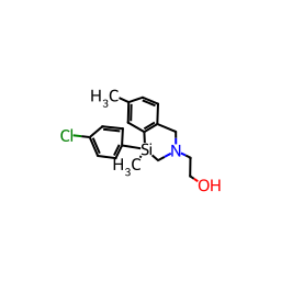 Cc1ccc2c(c1)[Si](C)(c1ccc(Cl)cc1)CN(CCO)C2